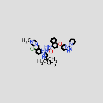 CN1CCN(Cc2cc(-n3nc(C(C)(C)C)cc3NC(=O)NC3CCC(Oc4ccc5nnc(N6CCCCC6)n5c4)c4ccccc43)ccc2Cl)CC1